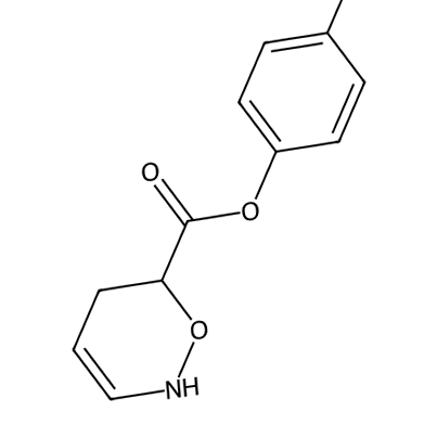 O=C(Oc1ccc([N+](=O)[O-])cc1)C1CC=CNO1